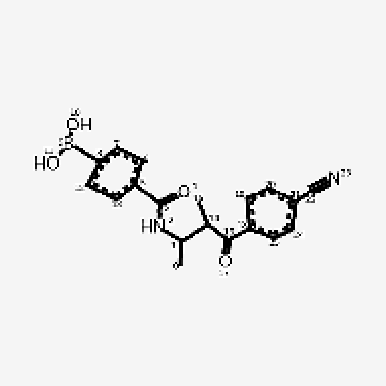 CC(NC(=O)c1ccc(B(O)O)cc1)C(C)C(=O)c1ccc(C#N)cc1